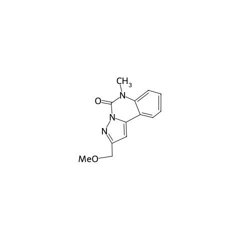 COCc1cc2c3ccccc3n(C)c(=O)n2n1